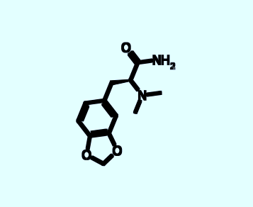 CN(C)[C@@H](Cc1ccc2c(c1)OCO2)C(N)=O